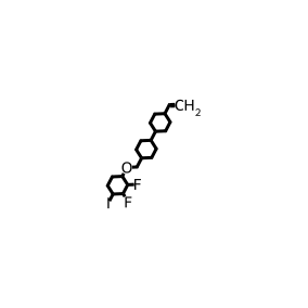 C=CC1CCC(C2CCC(COC3CCC(I)C(F)C3F)CC2)CC1